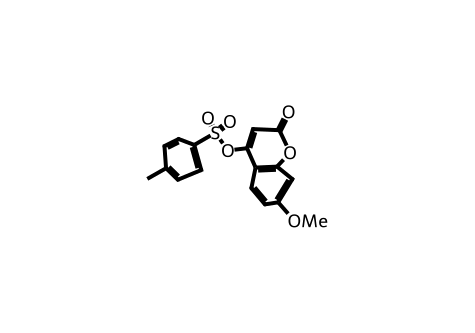 COc1ccc2c(OS(=O)(=O)c3ccc(C)cc3)cc(=O)oc2c1